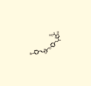 CC(O)c1nc(C(C)CCc2ccc(OCc3coc(C=Cc4ccc(Br)cc4)n3)cc2)c[nH]1